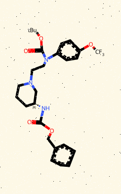 CC(C)(C)OC(=O)N(CCN1CCC[C@@H](NC(=O)OCc2ccccc2)C1)c1ccc(OC(F)(F)F)cc1